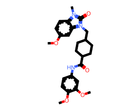 COc1ccc2c(c1)n(CC1CCC(C(=O)Nc3ccc(OC)c(OC)c3)CC1)c(=O)n2C